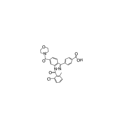 Cc1cccc(Cl)c1C(=O)n1nc(-c2ccc(C(=O)O)cc2)c2ccc(C(=O)N3CCOCC3)cc21